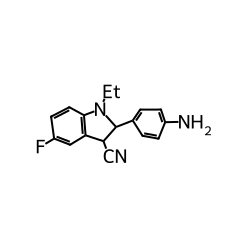 CCN1c2ccc(F)cc2C(C#N)C1c1ccc(N)cc1